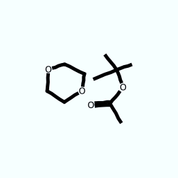 C1COCCO1.CC(=O)OC(C)(C)C